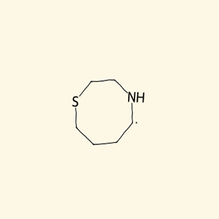 [CH]1CCCSCCN1